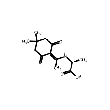 CC(N[C@@H](C)C(=O)O)=C1C(=O)CC(C)(C)CC1=O